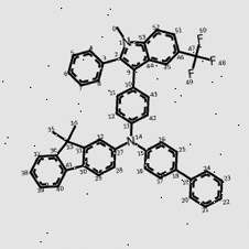 Cn1c(-c2ccccc2)c(-c2ccc(N(c3ccc(-c4ccccc4)cc3)c3ccc4c(c3)C(C)(C)c3ccccc3-4)cc2)c2cc(C(F)(F)F)ccc21